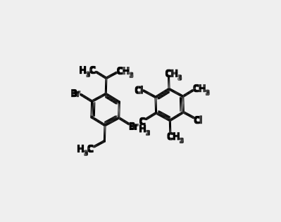 CCc1cc(Br)c(C(C)C)cc1Br.Cc1c(C)c(Cl)c(C)c(C)c1Cl